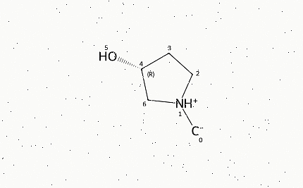 [CH2-][NH+]1CC[C@@H](O)C1